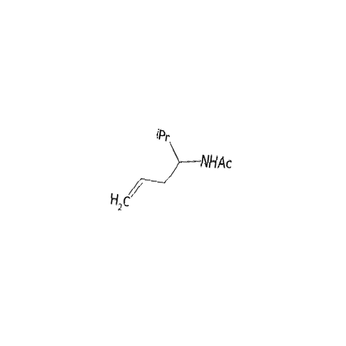 C=CCC(NC(C)=O)C(C)C